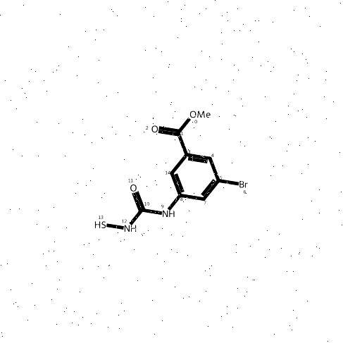 COC(=O)c1cc(Br)cc(NC(=O)NS)c1